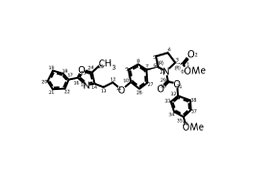 COC(=O)[C@H]1CC[C@H](c2ccc(OCCc3nc(-c4ccccc4)oc3C)cc2)N1C(=O)Oc1ccc(OC)cc1